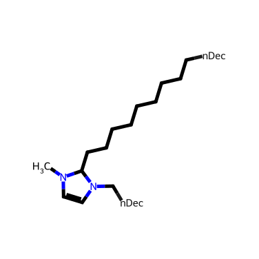 CCCCCCCCCCCCCCCCCCCC1N(C)C=CN1CCCCCCCCCCC